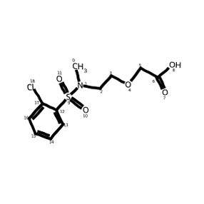 CN(CCOCC(=O)O)S(=O)(=O)c1ccccc1Cl